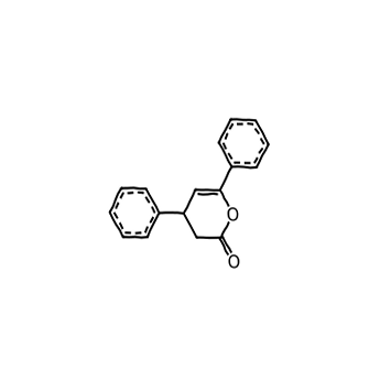 O=C1CC(c2ccccc2)C=C(c2ccccc2)O1